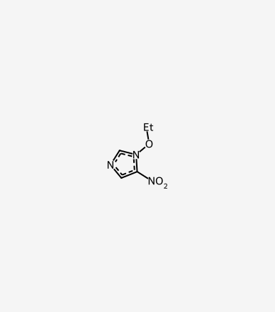 CCOn1cncc1[N+](=O)[O-]